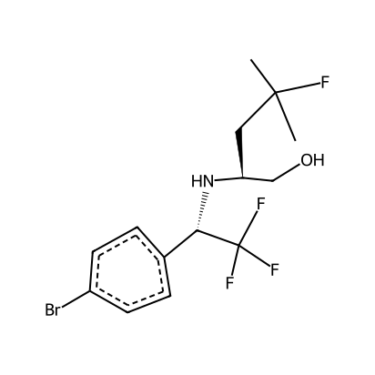 CC(C)(F)C[C@@H](CO)N[C@@H](c1ccc(Br)cc1)C(F)(F)F